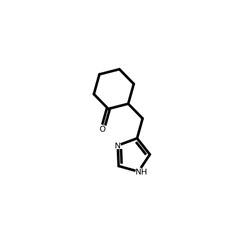 O=C1CCCCC1Cc1c[nH]cn1